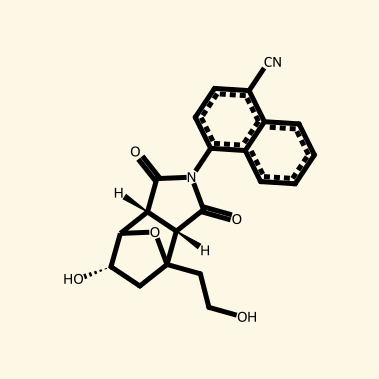 N#Cc1ccc(N2C(=O)[C@H]3C4OC(CCO)(C[C@@H]4O)[C@H]3C2=O)c2ccccc12